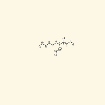 CC/C=C(\C)C(CCCCCC)OCC